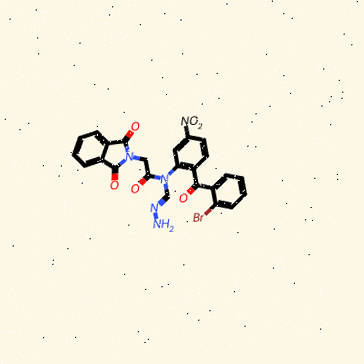 NN=CN(C(=O)CN1C(=O)c2ccccc2C1=O)c1cc([N+](=O)[O-])ccc1C(=O)c1ccccc1Br